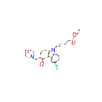 CCOC(=O)CCCCCn1c2c(c3cc(F)ccc31)C(=O)C(CN1CCOCC1)CC2